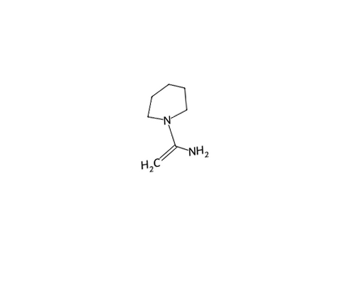 C=C(N)N1CCCCC1